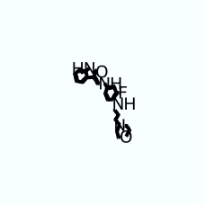 O=C1Nc2ccccc2C1=CNc1ccc(NCCCN2CCOCC2)c(F)c1